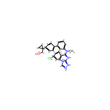 CN(c1cccc(-c2ccc(C3(CO)CC3)cc2)c1)c1nc2nncn2c2cc(Cl)ccc12